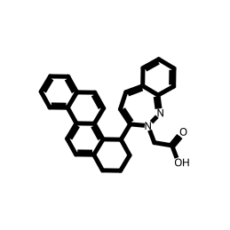 O=C(O)CN1N=c2ccccc2=CC=C1C1CCCc2ccc3c(ccc4ccccc43)c21